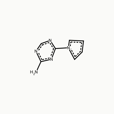 Nc1ncnc(-n2cccc2)n1